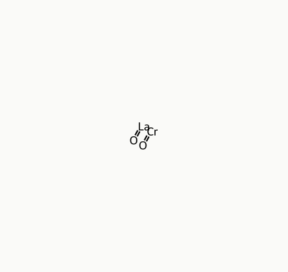 [O]=[Cr].[O]=[La]